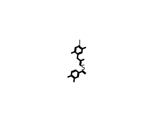 C=C(S/C=C(\C)Cc1cc(C)c(I)cc1C)c1ccc(C)c(C)c1